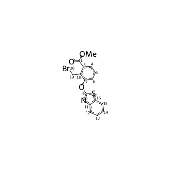 COC(=O)c1cccc(Oc2nc3ccccc3s2)c1CBr